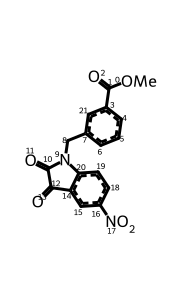 COC(=O)c1cccc(CN2C(=O)C(=O)c3cc([N+](=O)[O-])ccc32)c1